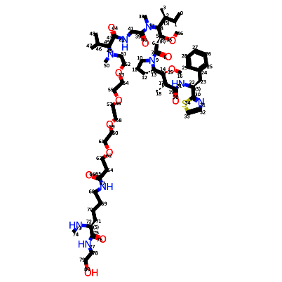 CC[C@H](C)C([C@@H](CC(=O)N1CCC[C@H]1[C@H](OC)[C@@H](C)C(=O)N[C@@H](Cc1ccccc1)c1nccs1)OC)N(C)C(=O)CNC(=O)C(C(C)C)N(C)CCOCCOCCOCCOCCC(=O)NCCCC[C@H](NC)C(=O)NCCO